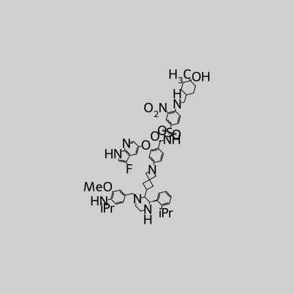 COc1cc(CN2CCN[C@H](c3ccccc3C(C)C)C2C2CC3(C2)CN(c2ccc(C(=O)NS(=O)(=O)c4ccc(NCC5CCC(C)(O)CC5)c([N+](=O)[O-])c4)c(Oc4cnc5[nH]cc(F)c5c4)c2)C3)ccc1NC(C)C